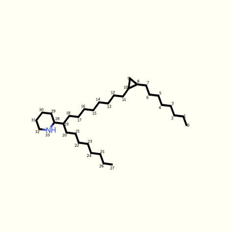 CCCCCCCCC1CC1CCCCCCCCC(CCCCCCCC)C1CCCCN1